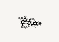 CC[C@H]1CN(C(C)c2ccc3c(c2)OC(F)(F)O3)[C@H](CC)CN1c1nc(=O)n(C)c2ccc(C#N)nc12